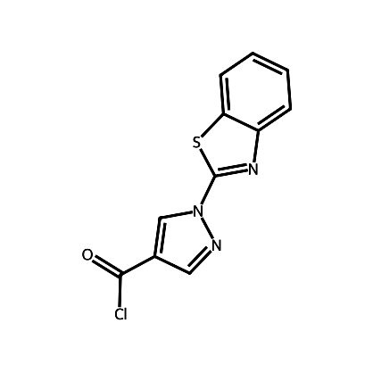 O=C(Cl)c1cnn(-c2nc3ccccc3s2)c1